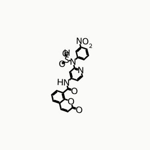 O=C(Nc1ccnc(N(c2cccc([N+](=O)[O-])c2)[SH](=O)=O)c1)c1cccc2ccc(=O)oc12